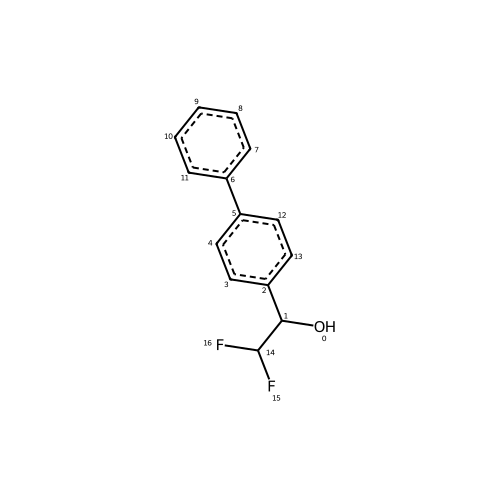 OC(c1ccc(-c2ccccc2)cc1)C(F)F